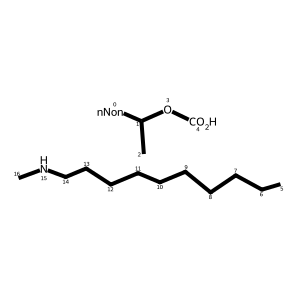 CCCCCCCCCC(C)OC(=O)O.CCCCCCCCCCNC